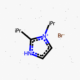 CC(C)c1[nH]cc[n+]1C(C)C.[Br-]